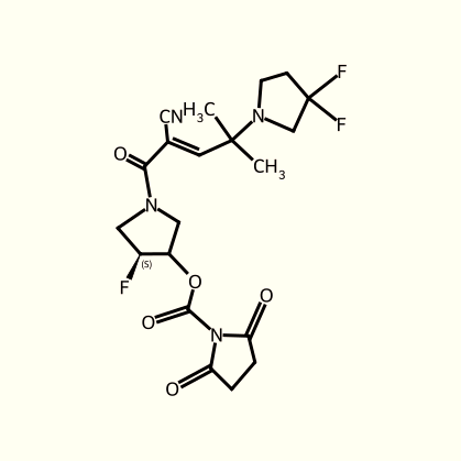 CC(C)(C=C(C#N)C(=O)N1CC(OC(=O)N2C(=O)CCC2=O)[C@@H](F)C1)N1CCC(F)(F)C1